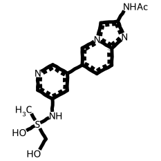 CC(=O)Nc1cn2cc(-c3cncc(NS(C)(O)CO)c3)ccc2n1